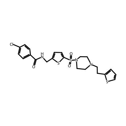 O=C(NCc1ccc(S(=O)(=O)N2CCN(CCc3cccs3)CC2)s1)c1ccc(Cl)cc1